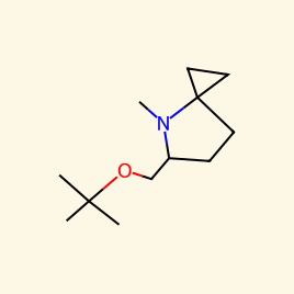 CN1C(COC(C)(C)C)CCC12CC2